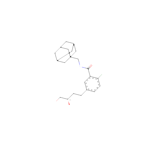 O=C(NCC12CC3CC(CC(C3)C1)C2)c1cc(CC[C@@H](O)CO)ccc1Cl